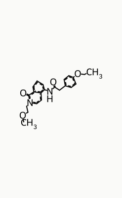 CCOc1ccc(CC(=O)Nc2cccc3c(=O)n(CCOC)ccc23)cc1